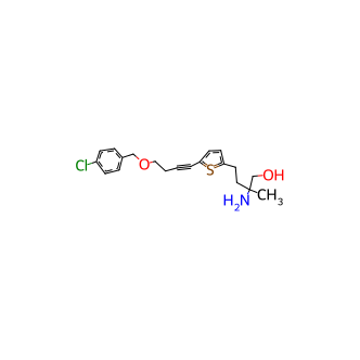 CC(N)(CO)CCc1ccc(C#CCCOCc2ccc(Cl)cc2)s1